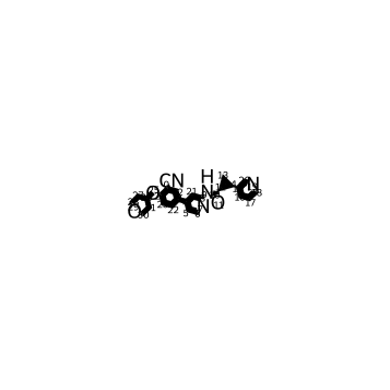 N#Cc1cc(-c2ccnc(NC(=O)[C@H]3C[C@@H]3c3cccnc3)c2)ccc1OC1CCOCC1